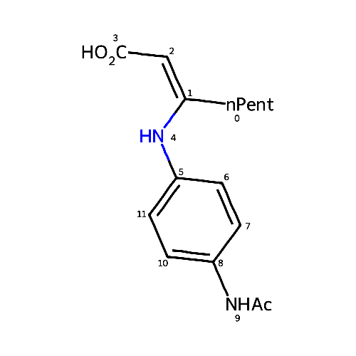 CCCCC/C(=C/C(=O)O)Nc1ccc(NC(C)=O)cc1